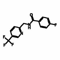 O=C(NCc1ccc(C(F)(F)F)cn1)c1ccc(F)cc1